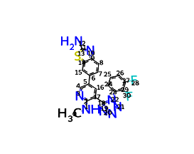 CNc1ncc(-c2ccc3nc(N)sc3c2)cc1-c1nnnn1-c1cccc(F)c1F